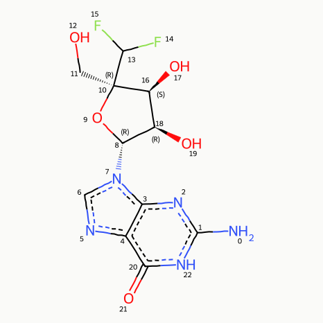 Nc1nc2c(ncn2[C@@H]2O[C@@](CO)(C(F)F)[C@@H](O)[C@H]2O)c(=O)[nH]1